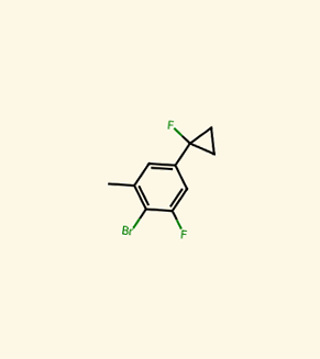 Cc1cc(C2(F)CC2)cc(F)c1Br